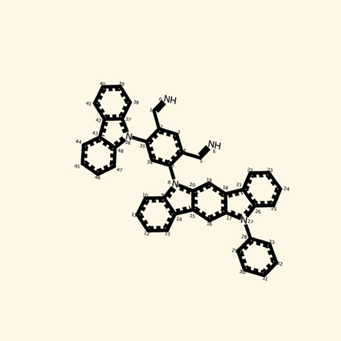 N=Cc1cc(C=N)c(-n2c3ccccc3c3cc4c(cc32)c2ccccc2n4-c2ccccc2)cc1-n1c2ccccc2c2ccccc21